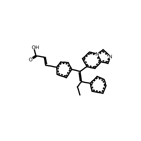 CCC(=C(c1ccc(C=CC(=O)O)cc1)c1ccn2cncc2c1)c1ccccc1